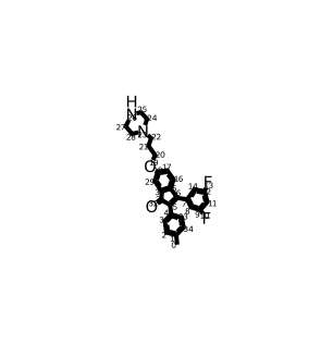 Cc1ccc(C2=C(c3cc(F)cc(F)c3)c3ccc(OCCCN4CCNCC4)cc3C2=O)cc1